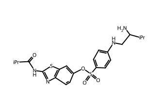 CC(C)C(=O)Nc1nc2ccc(OS(=O)(=O)c3ccc(NCC(N)C(C)C)cc3)cc2s1